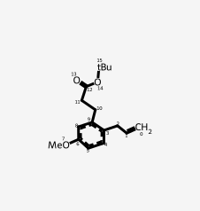 C=CCc1ccc(OC)cc1CCC(=O)OC(C)(C)C